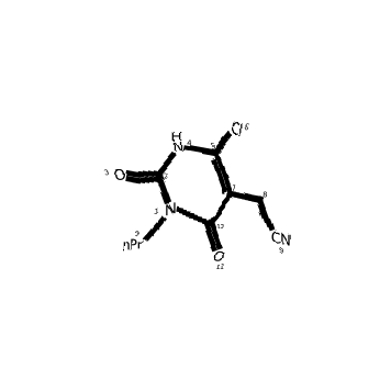 CCCn1c(=O)[nH]c(Cl)c(CC#N)c1=O